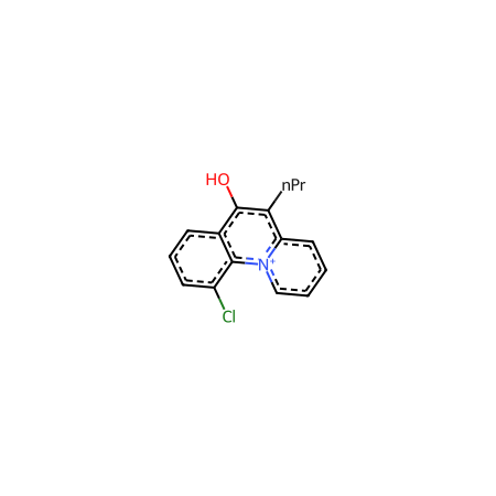 CCCc1c(O)c2cccc(Cl)c2[n+]2ccccc12